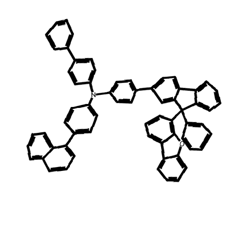 c1ccc(-c2ccc(N(c3ccc(-c4ccc5c(c4)C(c4ccccc4)(c4cccc6c4oc4ccccc46)c4ccccc4-5)cc3)c3ccc(-c4cccc5ccccc45)cc3)cc2)cc1